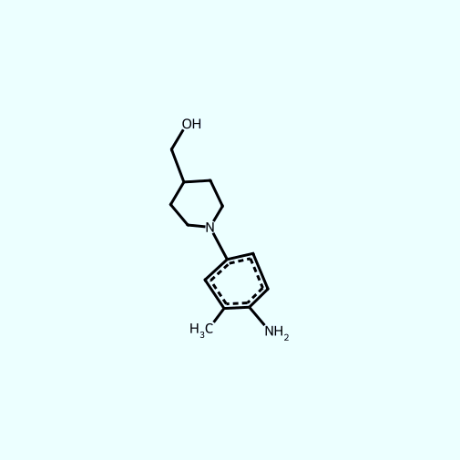 Cc1cc(N2CCC(CO)CC2)ccc1N